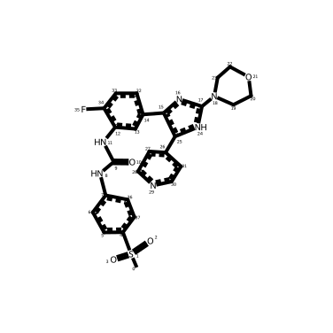 CS(=O)(=O)c1ccc(NC(=O)Nc2cc(-c3nc(N4CCOCC4)[nH]c3-c3ccncc3)ccc2F)cc1